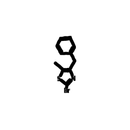 Cc1sc(Br)nc1Cc1ccccc1